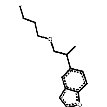 [CH2]CCCOCC(C)c1ccc2occc2c1